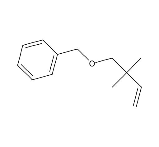 C=CC(C)(C)COCc1ccccc1